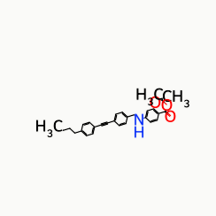 CCCCc1ccc(C#Cc2ccc(CNc3ccc4c(c3)OC(C)(C)OC4=O)cc2)cc1